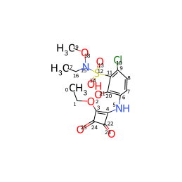 CCOc1c(Nc2ccc(Cl)c(S(=O)(=O)N(CC)OC)c2O)c(=O)c1=O